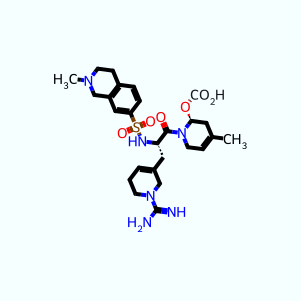 CC1=CCN(C(=O)[C@H](CC2=CCCN(C(=N)N)C2)NS(=O)(=O)c2ccc3c(c2)CN(C)CC3)[C@H](OC(=O)O)C1